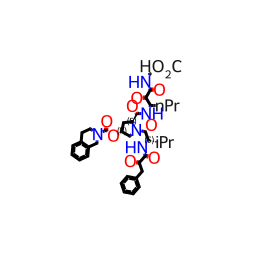 CCCC(NC(=O)[C@@H]1C[C@@H](OC(=O)N2CCc3ccccc3C2)CN1C(=O)[C@@H](NC(=O)C(=O)Cc1ccccc1)C(C)C)C(=O)C(=O)NCC(=O)O